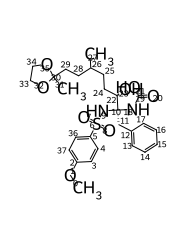 COc1ccc(S(=O)(=O)N[C@](Cc2ccccc2)(NC(=O)O)[C@H](O)CCC(C)CCC2(C)OCCO2)cc1